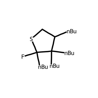 CCCCC1CSC(F)(CCCC)C1(CCCC)CCCC